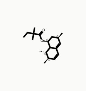 CCC(C)(C)C(=O)O[C@H]1C[C@@H](C)C=C2C=C[C@@H](C)[C@H](C)C21